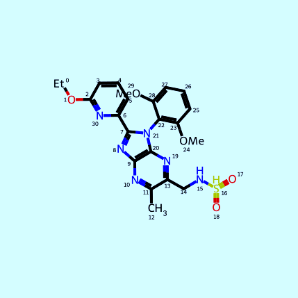 CCOc1cccc(-c2nc3nc(C)c(CN[SH](=O)=O)nc3n2-c2c(OC)cccc2OC)n1